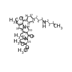 CCCCNCCCc1ccc(C(=O)c2c(CC)cc3cc(C(=O)N(CC(=O)OC)C(C)C)ccn23)cc1